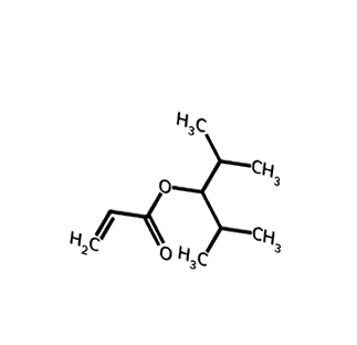 C=CC(=O)OC(C(C)C)C(C)C